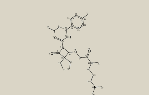 CCC[C@@H](NC(=O)N1C(=O)C(CC)(CC)C1OCC(=O)N(C)CCCN(C)C)c1ccc(C)cc1